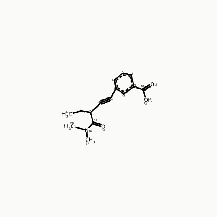 CCC(C#Cc1cccc(C(=O)O)c1)C(=O)N(C)C